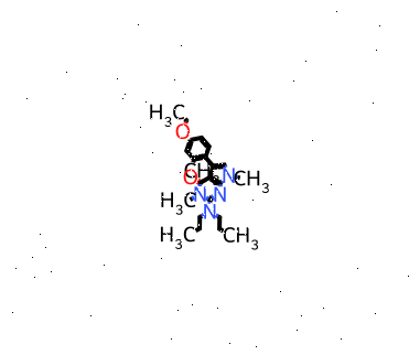 CCCN(CCC)c1nc2c(c(-c3ccc(OCC)cc3C)cn2C)c(=O)n1C